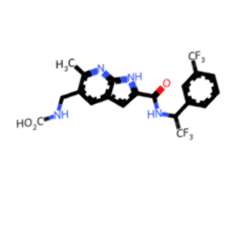 Cc1nc2[nH]c(C(=O)NC(c3cccc(C(F)(F)F)c3)C(F)(F)F)cc2cc1CNC(=O)O